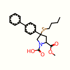 CCCCSC1(c2ccc(-c3ccccc3)cc2)CC(C(=O)OC)N(C(=O)O)C1